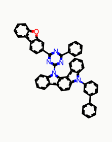 c1ccc(-c2cccc(-n3c4ccccc4c4c3ccc3c5ccccc5n(-c5nc(-c6ccccc6)nc(-c6ccc7c(c6)oc6ccccc67)n5)c34)c2)cc1